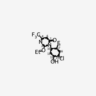 CCOc1nc(C(F)(F)F)cc(=O)n1-c1cc(O)c(Cl)cc1F